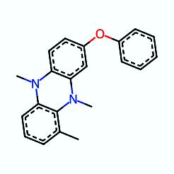 Cc1cccc2c1N(C)c1cc(Oc3ccccc3)ccc1N2C